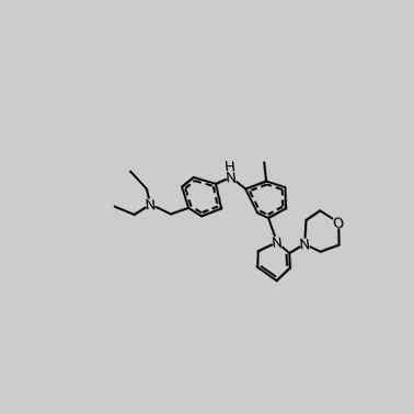 CCN(CC)Cc1ccc(Nc2cc(N3CC=CC=C3N3CCOCC3)ccc2C)cc1